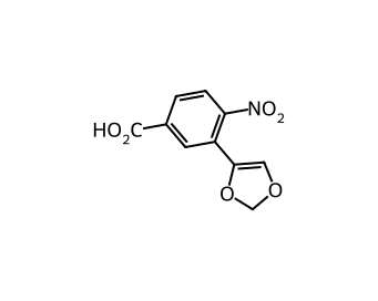 O=C(O)c1ccc([N+](=O)[O-])c(C2=COCO2)c1